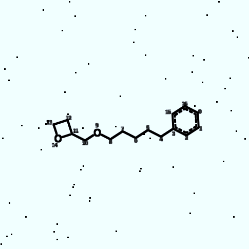 c1ccc(CCCCCOCC2CCO2)cc1